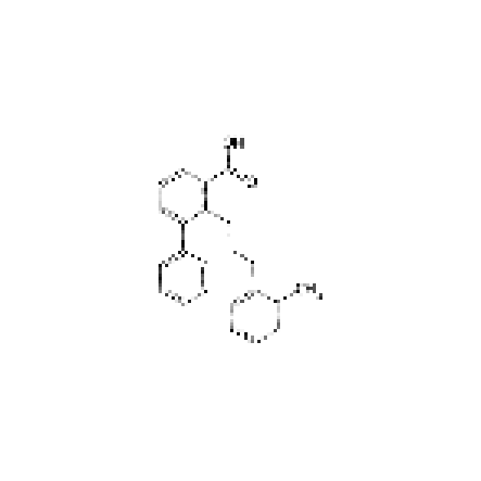 Cc1ccccc1CCCc1c(C(=O)O)cccc1-c1ccccc1